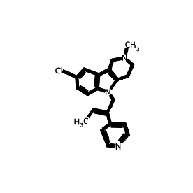 CC=C(Cn1c2c(c3cc(Cl)ccc31)CN(C)CC2)c1ccncc1